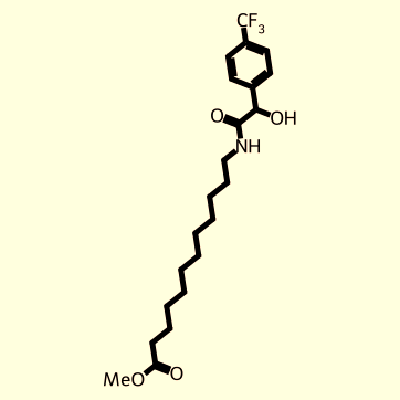 COC(=O)CCCCCCCCCCCNC(=O)C(O)c1ccc(C(F)(F)F)cc1